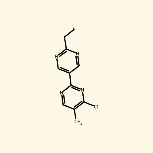 FCc1ncc(-c2ncc(C(F)(F)F)c(Cl)n2)cn1